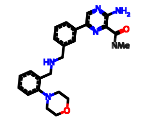 CNC(=O)c1nc(-c2cccc(CNCc3ccccc3N3CCOCC3)c2)cnc1N